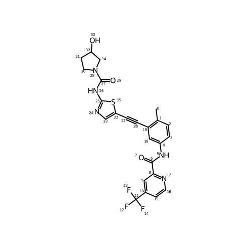 Cc1ccc(NC(=O)c2cc(C(F)(F)F)ccn2)cc1C#Cc1cnc(NC(=O)N2CCC(O)C2)s1